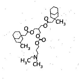 CCN(CC)CCCOC(=O)OCC(COC(=O)CC1(C)CC2CCCC(C2)C1)COC(=O)CC12CCCC(CC(C)C1)C2